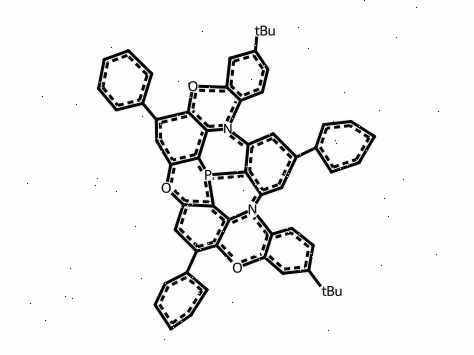 CC(C)(C)c1ccc2c(c1)oc1c(-c3ccccc3)cc3oc4cc(-c5ccccc5)c5oc6cc(C(C)(C)C)ccc6n6c7cc(-c8ccccc8)cc8c7p(c3c1n28)c4c56